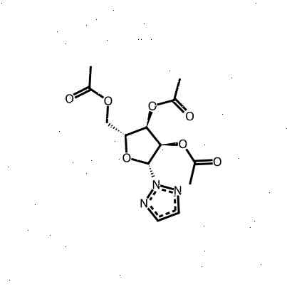 CC(=O)OC[C@H]1O[C@@H](n2nccn2)[C@H](OC(C)=O)[C@@H]1OC(C)=O